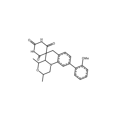 COc1ccccc1-c1ccc2c(c1)N1CC(C)OC(C)C1C1(C2)C(=O)NC(=O)NC1=O